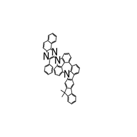 CC1(C)c2ccccc2-c2cc3c4cccc5c6cccc7c6c6c(cccc6n(c3cc21)c54)n7-c1nc2c(ccc3ccccc32)nc1-c1ccccc1